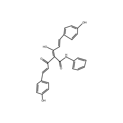 O=C(/C=C/c1ccc(O)cc1)/C(C(=O)Nc1ccccc1)=C(O)/C=C/c1ccc(O)cc1